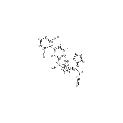 CC1(C)[C@H]2CC[C@]1(c1ccnn1CCC#N)c1nnc(-c3c(F)cccc3F)cc12